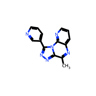 Cc1nc2cccnc2n2c(-c3cccnc3)nnc12